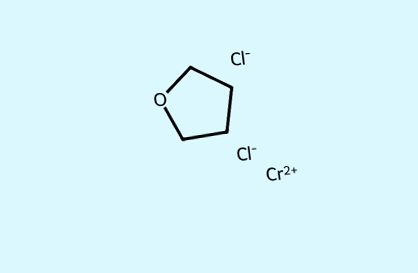 C1CCOC1.[Cl-].[Cl-].[Cr+2]